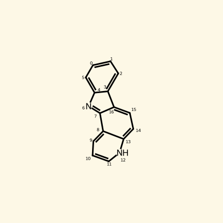 c1ccc2c(c1)nc1c3ccc[nH]c3ccc21